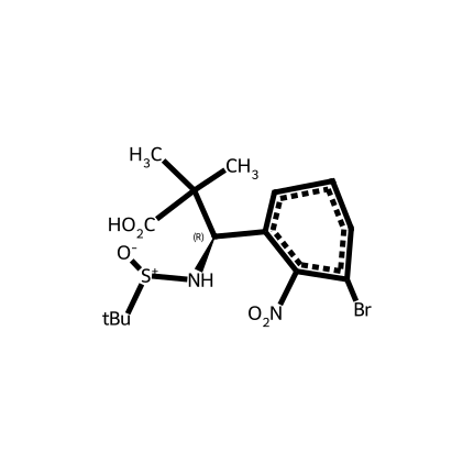 CC(C)(C(=O)O)[C@H](N[S+]([O-])C(C)(C)C)c1cccc(Br)c1[N+](=O)[O-]